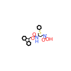 CN(CCC(CSc1ccccc1)NC(=O)OCC1c2ccccc2-c2ccccc21)C(=O)O